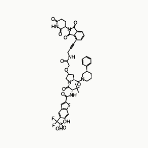 CC(C)(C)[C@H](NC(=O)c1cc2cc(C(F)(F)P(=O)(O)O)ccc2s1)C(=O)N1C[C@@H](OCC(=O)NCC#Cc2cccc3c2C(=O)N(C2CCC(=O)NC2=O)C3=O)C[C@H]1C(=O)N1CCC[C@H](c2ccccc2)C1